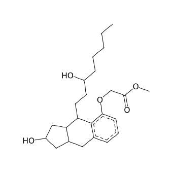 CCCCCC(O)CCC1c2c(cccc2OCC(=O)OC)CC2CC(O)CC21